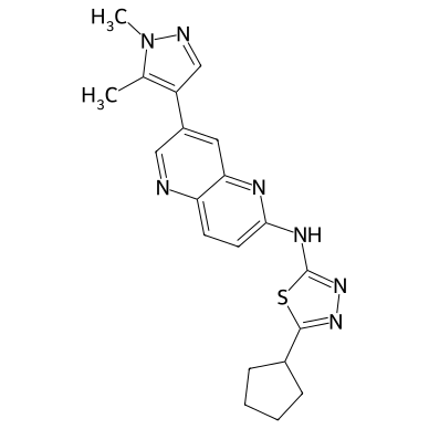 Cc1c(-c2cnc3ccc(Nc4nnc(C5CCCC5)s4)nc3c2)cnn1C